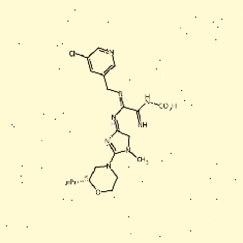 CCC[C@@H]1CN(C2=N/C(=N/C(=N\Cc3cncc(Cl)c3)C(=N)NC(=O)O)CN2C)CCO1